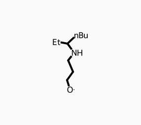 CCCCC(CC)NCCC[O]